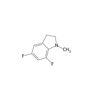 CN1CCc2cc(F)cc(F)c21